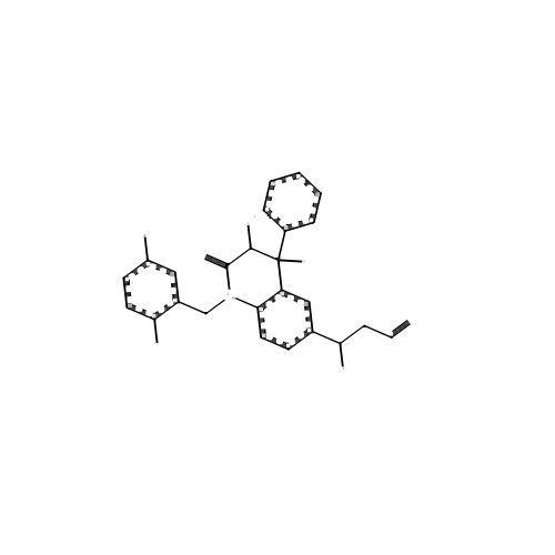 C=CCC(C)c1ccc2c(c1)C(O)(c1ccccc1)C(OC)C(=O)N2Cc1cc(C(F)(F)F)ccc1Cl